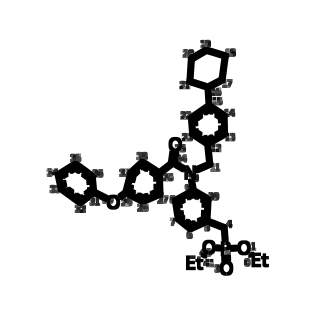 CCOP(=O)(Cc1cccc(N(Cc2ccc(C3CCCCC3)cc2)C(=O)c2ccc(Oc3ccccc3)cc2)c1)OCC